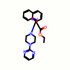 CCOC(=O)C1=C2C=CC=C3C=CC=CC32NN=C1N1CCN(c2ncccn2)CC1